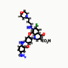 Nc1ccc2[nH]c3cc4oc5c(NCCCN6CCOCC6)c(F)cc6c(=O)c(C(=O)O)cn(c4cc3oc2c1)c56